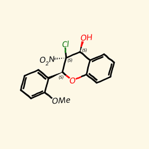 COc1ccccc1[C@@H]1Oc2ccccc2[C@H](O)[C@@]1(Cl)[N+](=O)[O-]